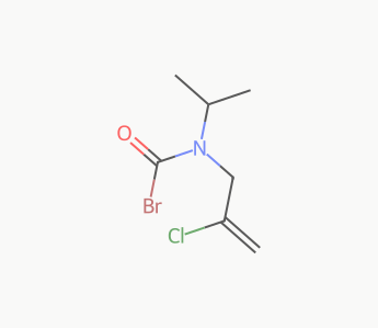 C=C(Cl)CN(C(=O)Br)C(C)C